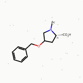 CC(=O)N1CC(OCc2ccccc2)C[C@H]1C(=O)O